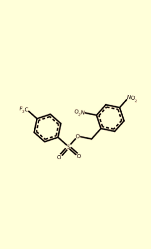 O=[N+]([O-])c1ccc(COS(=O)(=O)c2ccc(C(F)(F)F)cc2)c([N+](=O)[O-])c1